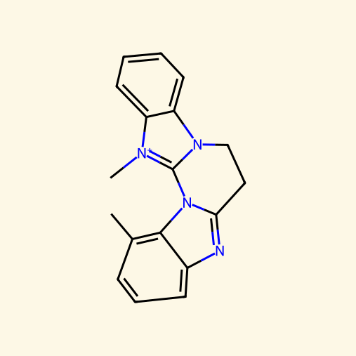 Cc1cccc2nc3n(c12)-c1n(c2ccccc2[n+]1C)CC3